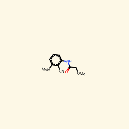 CNc1cccc(NC(=O)COC)c1C#N